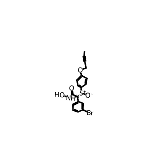 CC#CCOc1ccc([S+]([O-])[C@@H](C(=O)NO)c2cccc(Br)c2)cc1